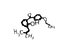 CC(C)=Cc1cccc(C(=O)c2ccc(OCCO)cc2)c1O